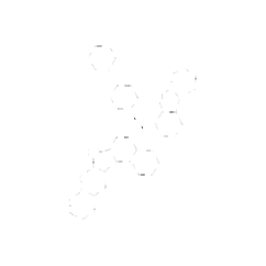 c1ccc(-c2ccc(N(c3cc4oc5cc6ccccc6cc5c4c4ccccc34)c3cccc4c3oc3ccccc34)cc2)cc1